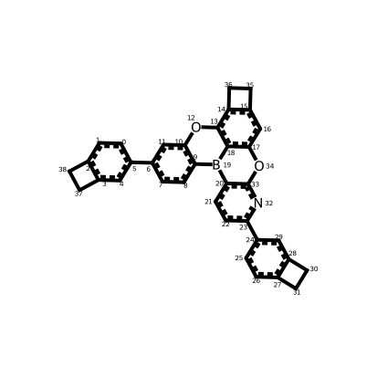 c1cc2c(cc1-c1ccc3c(c1)Oc1c4c(cc5c1B3c1ccc(-c3ccc6c(c3)CC6)nc1O5)CC4)CC2